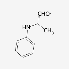 C[C@@H]([C]=O)Nc1ccccc1